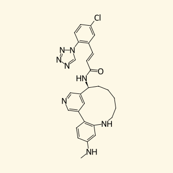 CNc1ccc2c(c1)NCCCCC[C@H](NC(=O)/C=C/c1cc(Cl)ccc1-n1cnnn1)c1cncc-2c1